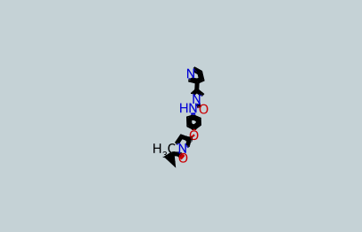 CC1(C(=O)N2CC[C@@H](Oc3ccc(NC(=O)N4CC(c5cccnc5)C4)cc3)C2)CC1